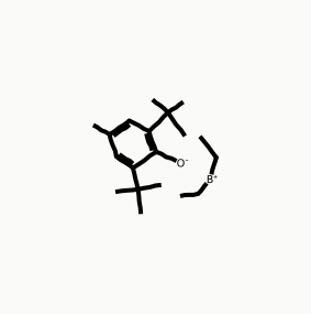 CC[B+]CC.Cc1cc(C(C)(C)C)c([O-])c(C(C)(C)C)c1